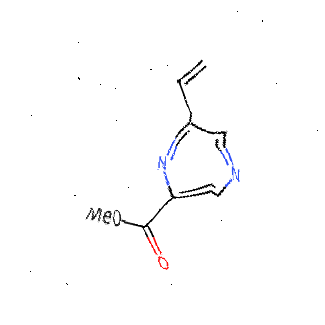 C=Cc1cncc(C(=O)OC)n1